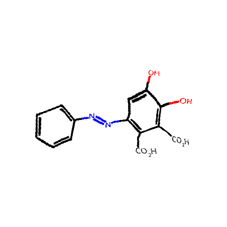 O=C(O)c1c(N=Nc2ccccc2)cc(O)c(O)c1C(=O)O